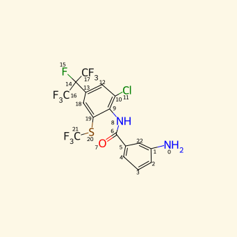 Nc1cccc(C(=O)Nc2c(Cl)cc(C(F)(C(F)(F)F)C(F)(F)F)cc2SC(F)(F)F)c1